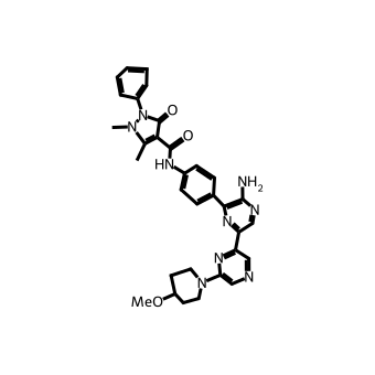 COC1CCN(c2cncc(-c3cnc(N)c(-c4ccc(NC(=O)c5c(C)n(C)n(-c6ccccc6)c5=O)cc4)n3)n2)CC1